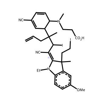 C=CCC(C)(C(I)/C(C#N)=C1/N(CC)c2ccc(OC)cc2C1(C)CCI)C1C=C(C#N)C=CC1N(C)CCC(=O)O